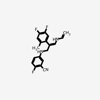 C=CN/C=C(/CNc1ccc(F)c(C#N)c1)c1cc(F)c(F)cc1C